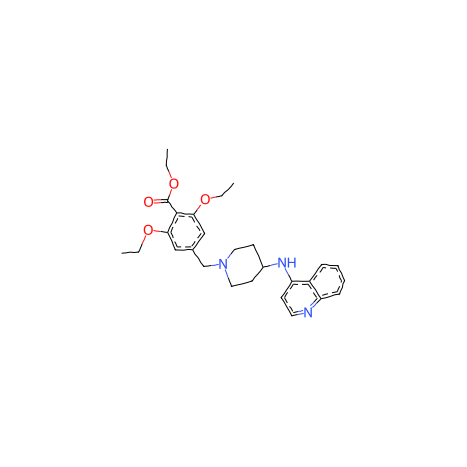 CCOC(=O)c1c(OCC)cc(CN2CCC(Nc3ccnc4ccccc34)CC2)cc1OCC